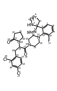 CCNC(CC(C)C)(NC)c1cccc(F)c1N1CCN(C(=O)C(Cc2ccc(Cl)cc2Cl)N2CCCC2=O)CC1